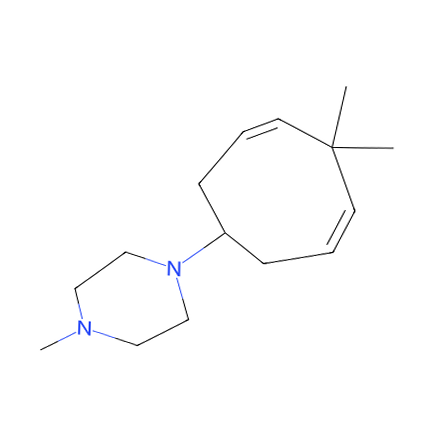 CN1CCN(C2C/C=C\C(C)(C)/C=C\C2)CC1